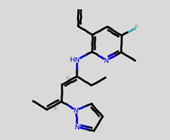 C=Cc1cc(F)c(C)nc1N/C(=C/C(=C\C)n1cccn1)CC